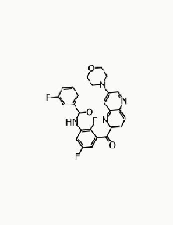 O=C(Nc1cc(F)cc(C(=O)c2ccc3ncc(N4CCOCC4)cc3n2)c1F)c1cccc(F)c1